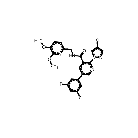 COc1ccc(CNC(=O)c2cc(-c3cc(F)cc(Cl)c3)cnc2-n2cc(C)cn2)nc1OC